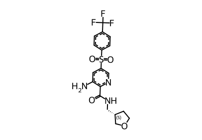 Nc1cc(S(=O)(=O)c2ccc(C(F)(F)F)cc2)cnc1C(=O)NC[C@@H]1CCOC1